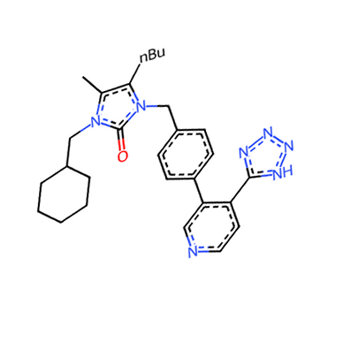 CCCCc1c(C)n(CC2CCCCC2)c(=O)n1Cc1ccc(-c2cnccc2-c2nnn[nH]2)cc1